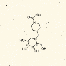 CC(C)(C)C(=O)N1CCC(CN2C[C@H](O)[C@@H](O)[C@H](O)[C@@H]2CO)CC1